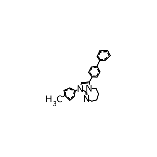 Cc1ccc(N2C=C(c3ccc(-c4ccccc4)cc3)N3CCCCN=C32)cc1